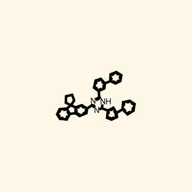 c1ccc(-c2cccc(C3=NC(c4ccc5c(c4)C4(CCCC4)c4ccccc4-5)=NC(c4cccc(-c5ccccc5)c4)N3)c2)cc1